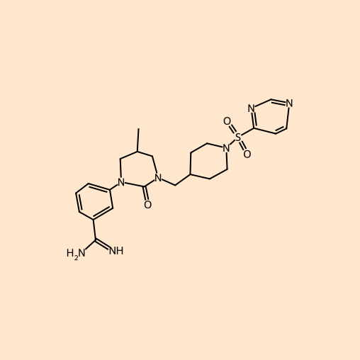 CC1CN(CC2CCN(S(=O)(=O)c3ccncn3)CC2)C(=O)N(c2cccc(C(=N)N)c2)C1